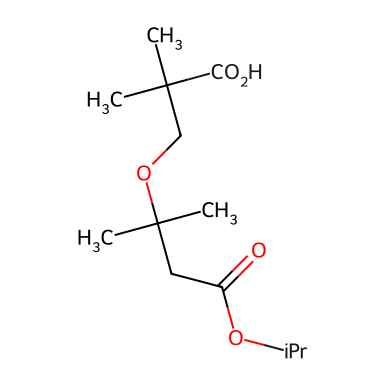 CC(C)OC(=O)CC(C)(C)OCC(C)(C)C(=O)O